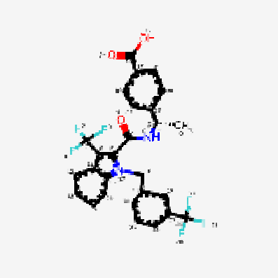 C[C@H](NC(=O)c1c(C(F)(F)F)c2ccccc2n1Cc1cccc(C(F)(F)F)c1)c1ccc(C(=O)O)cc1